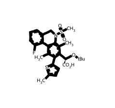 Cc1ccc(-c2c(C)c3c(c(C)c2[C@H](OC(C)(C)C)C(=O)O)N(S(C)(=O)=O)Cc2cccc(F)c2-3)s1